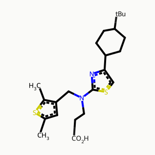 Cc1cc(CN(CCC(=O)O)c2nc(C3CCC(C(C)(C)C)CC3)cs2)c(C)s1